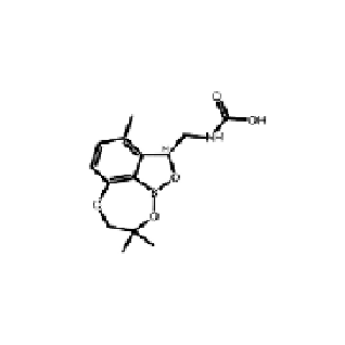 Cc1ccc2c3c1[C@@H](CNC(=O)O)OB3OC(C)(C)CO2